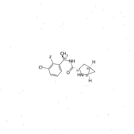 C[C@@H](NC(=O)[C@@H]1C[C@H]2C[C@H]2N1)c1cccc(Cl)c1F